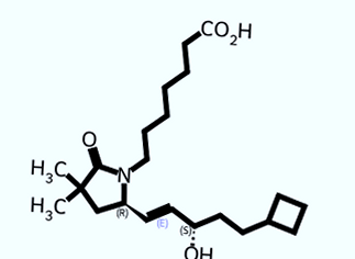 CC1(C)C[C@H](/C=C/[C@@H](O)CCC2CCC2)N(CCCCCCC(=O)O)C1=O